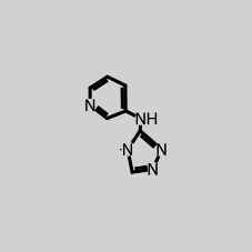 C1=NN=C(Nc2cccnc2)[N]1